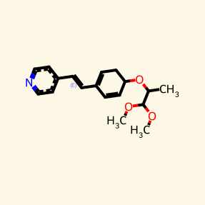 COC(OC)C(C)OC1C=CC(/C=C/c2ccncc2)=CC1